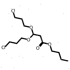 CCCCOC(=O)CC(OCCCCl)OCCCCl